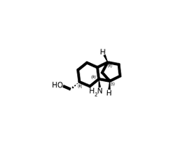 N[C@@]12C[C@H](CO)CCC1[C@@H]1CC[C@H]2C1